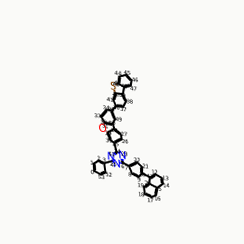 c1ccc(-c2nc(-c3ccc(-c4cccc5ccccc45)cc3)nc(-c3ccc4c(c3)oc3ccc(-c5ccc6c(c5)sc5ccccc56)cc34)n2)cc1